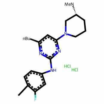 CCCCc1cc(N2CCC[C@@H](NC)C2)nc(Nc2ccc(C)c(F)c2)n1.Cl.Cl